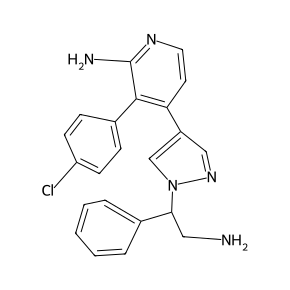 NCC(c1ccccc1)n1cc(-c2ccnc(N)c2-c2ccc(Cl)cc2)cn1